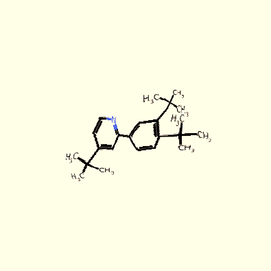 CC(C)(C)c1ccnc(-c2ccc(C(C)(C)C)c(C(C)(C)C)c2)c1